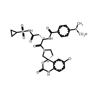 CN(C(=O)O)c1ccc(C(=O)N[C@@H](CC(=O)NS(=O)(=O)C2CC2)C(=O)N2CC[C@@]3(C2)OC(=O)Nc2ccc(Cl)cc23)cc1